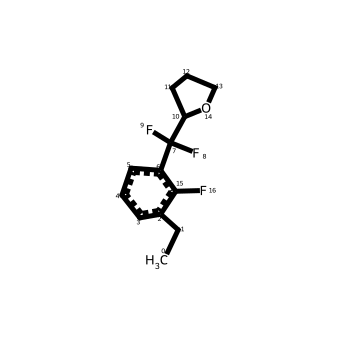 CCc1cccc(C(F)(F)C2CCCO2)c1F